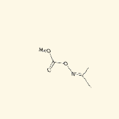 COC(=O)ON=C(C)C